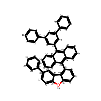 c1ccc(-c2cc(-c3ccccc3)cc(-c3c4ccccc4c(-c4cccc5oc6ccc(-c7ccccc7)cc6c45)c4ccccc34)c2)cc1